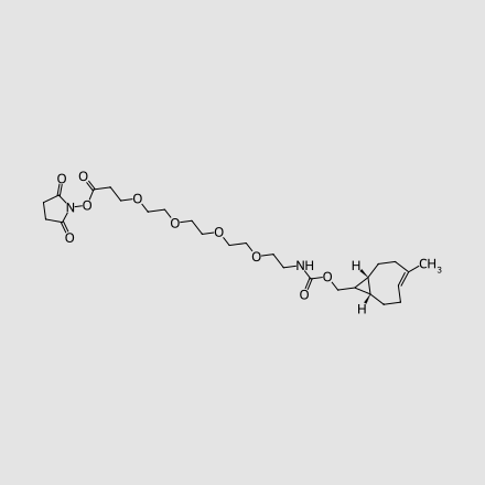 C/C1=C\CC[C@@H]2C(COC(=O)NCCOCCOCCOCCOCCC(=O)ON3C(=O)CCC3=O)[C@@H]2CC1